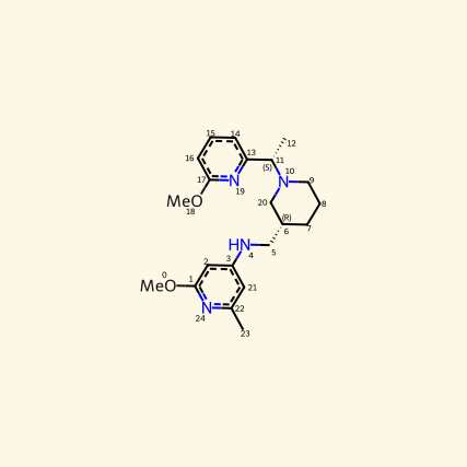 COc1cc(NC[C@H]2CCCN([C@@H](C)c3cccc(OC)n3)C2)cc(C)n1